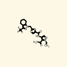 CCn1ncc(NC(=O)c2csc(Cn3nc(C(F)(F)F)c4c3CCCC4)n2)c1C(N)=O